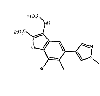 CCOC(=O)Nc1c(C(=O)OCC)oc2c(Br)c(C)c(-c3cnn(C)c3)cc12